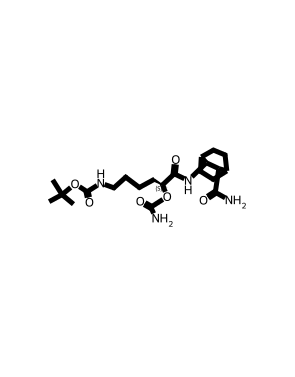 CC(C)(C)OC(=O)NCCCC[C@H](OC(N)=O)C(=O)NC1C2CCC(CC2)C1C(N)=O